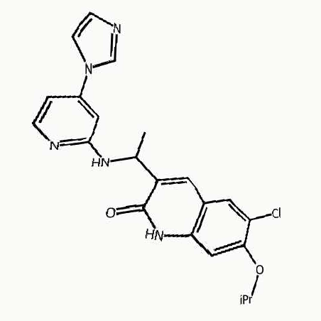 CC(C)Oc1cc2[nH]c(=O)c(C(C)Nc3cc(-n4ccnc4)ccn3)cc2cc1Cl